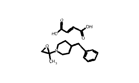 CC1(N2CCC(Cc3ccccc3)CC2)CO1.O=C(O)C=CC(=O)O